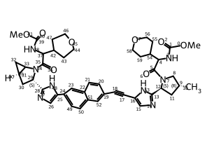 COC(=O)NC(C(=O)N1C[C@H](C)C[C@H]1c1ncc(C#Cc2ccc3cc(-c4cnc([C@@H]5C[C@H]6CC6N5C(=O)C(NC(=O)OC)C5CCOCC5)[nH]4)ccc3c2)[nH]1)C1CCOCC1